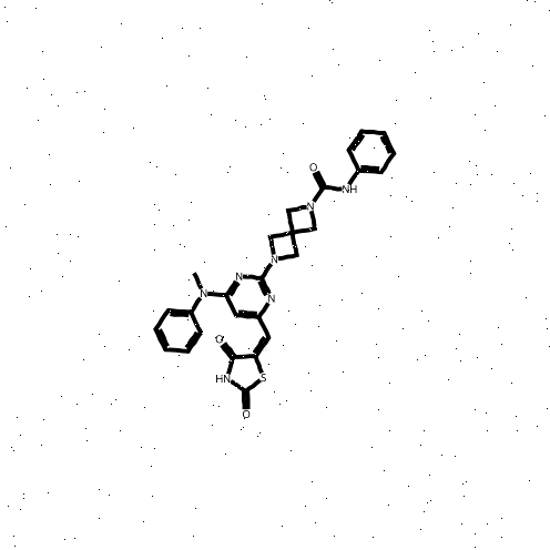 CN(c1ccccc1)c1cc(/C=C2/SC(=O)NC2=O)nc(N2CC3(CN(C(=O)Nc4ccccc4)C3)C2)n1